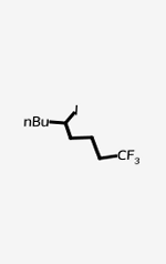 CCCCC(I)CCCC(F)(F)F